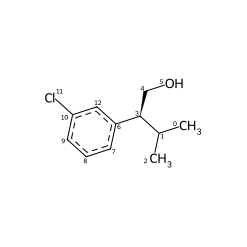 CC(C)[C@H](CO)c1cccc(Cl)c1